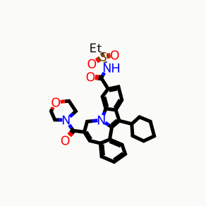 CCS(=O)(=O)NC(=O)c1ccc2c(C3CCCCC3)c3n(c2c1)CC(C(=O)N1CCOCC1)=Cc1ccccc1-3